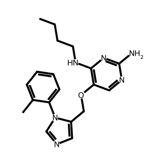 CCCCNc1nc(N)ncc1OCc1cncn1-c1ccccc1C